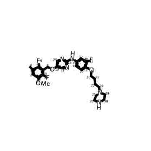 COc1cc(C)c(F)c(COc2cnc(Nc3ccc(OCCCCN4CCNCC4)c(F)c3)nc2)c1F